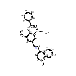 COc1cc(/C=C/c2cc[n+](C)c3ccccc23)cc(OC)c1OC(=O)c1ccccc1.[I-]